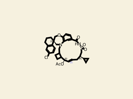 CC(=O)O[C@H]1/C=C/C[C@H](C2CC2)CS(=O)(=O)NC(=O)c2ccc3c(c2)N(CC2CCC21)C[C@@]1(CCCc2cc(Cl)ccc21)CO3